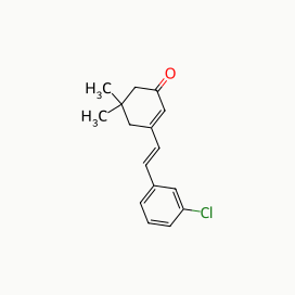 CC1(C)CC(=O)C=C(C=Cc2cccc(Cl)c2)C1